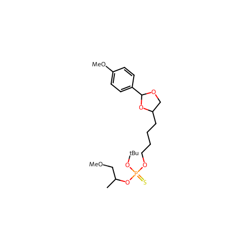 COCC(C)OP(=S)(OCCCCC1COC(c2ccc(OC)cc2)O1)OC(C)(C)C